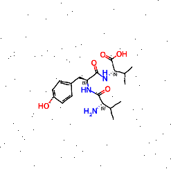 CC(C)[C@H](N)C(=O)N[C@@H](Cc1ccc(O)cc1)C(=O)N[C@H](C(=O)O)C(C)C